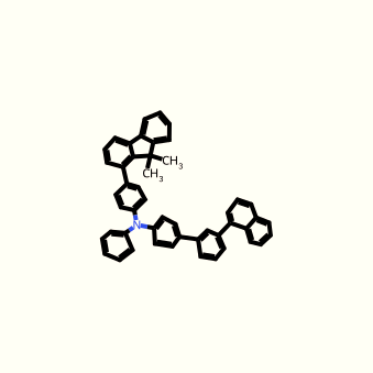 CC1(C)c2ccccc2-c2cccc(-c3ccc(N(c4ccccc4)c4ccc(-c5cccc(-c6cccc7ccccc67)c5)cc4)cc3)c21